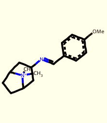 COc1ccc(C=NC2CC3CCC(C2)[N+]3(C)C)cc1